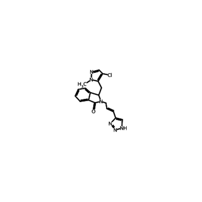 Cn1ncc(Cl)c1CC1c2ccccc2C(=O)N1CC=Cc1c[nH]nn1